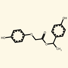 CC(OC(=O)COc1ccc(O)cc1)c1ccc(O)cc1